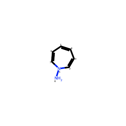 NN1C=CC=CC=C1